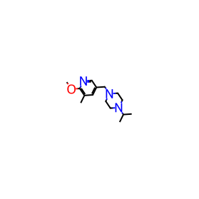 COc1ncc(CN2CCN(C(C)C)CC2)cc1C